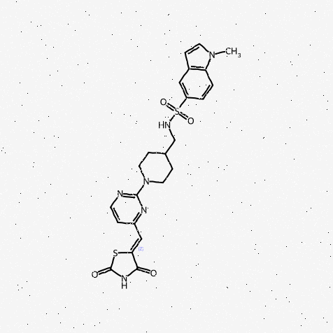 Cn1ccc2cc(S(=O)(=O)NCC3CCN(c4nccc(/C=C5\SC(=O)NC5=O)n4)CC3)ccc21